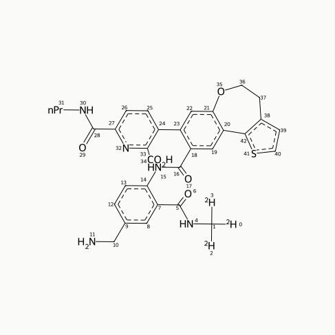 [2H]C([2H])([2H])NC(=O)c1cc(CN)ccc1NC(=O)c1cc2c(cc1-c1ccc(C(=O)NCCC)nc1C(=O)O)OCCc1ccsc1-2